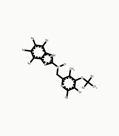 [2H]c1nc(C[S+]([O-])c2nc3c([2H])c([2H])c([2H])c([2H])c3[nH]2)c(C)c(OC([2H])([2H])C(F)(F)F)c1[2H]